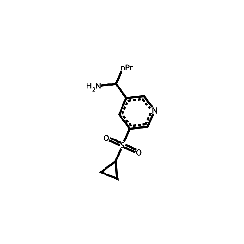 CCCC(N)c1cncc(S(=O)(=O)C2CC2)c1